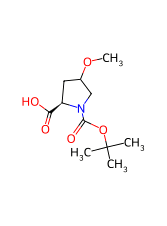 COC1C[C@H](C(=O)O)N(C(=O)OC(C)(C)C)C1